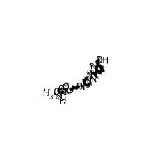 CS(=O)(=O)NC(=O)OCCON=C1CCN(c2ncc(-c3cccc(CO)c3F)cn2)CC1